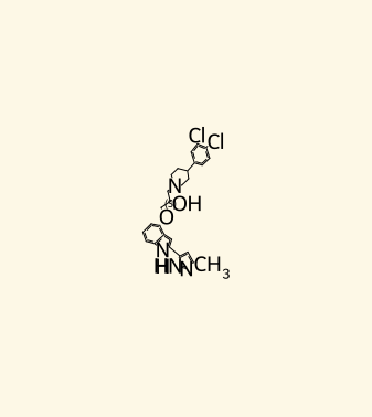 Cc1cc(-c2cc3c(OC[C@@H](O)CN4CCC(c5ccc(Cl)c(Cl)c5)CC4)cccc3[nH]2)[nH]n1